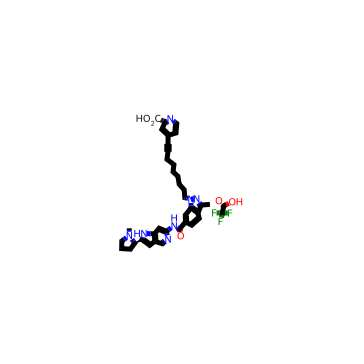 Cc1nn(CCCCCCCC#Cc2ccnc(C(=O)O)c2)c2cc(C(=O)Nc3cc4[nH]c([C@H]5CCCN5C)cc4cn3)ccc12.O=C(O)C(F)(F)F